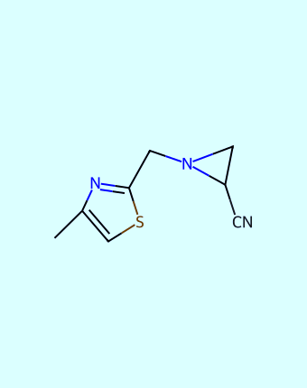 Cc1csc(CN2CC2C#N)n1